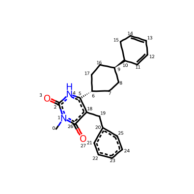 Cn1c(=O)[nH]c([C@H]2CC[C@H](C3C=CC=CC3)CC2)c(Cc2ccccc2)c1=O